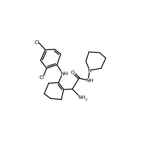 NC(C(=O)NN1CCCCC1)C1=C(Nc2ccc(Cl)cc2Cl)CCCC1